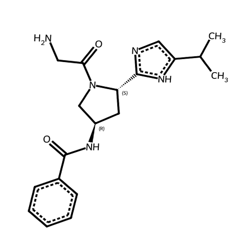 CC(C)c1cnc([C@@H]2C[C@@H](NC(=O)c3ccccc3)CN2C(=O)CN)[nH]1